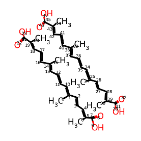 CC(/C=C/C=C(\C)C(=O)O)=C\C=C\C=C(C)\C=C\C=C(/C)C(=O)O.CC(/C=C/C=C(\C)C(=O)O)=C\C=C\C=C(C)\C=C\C=C(/C)C(=O)O